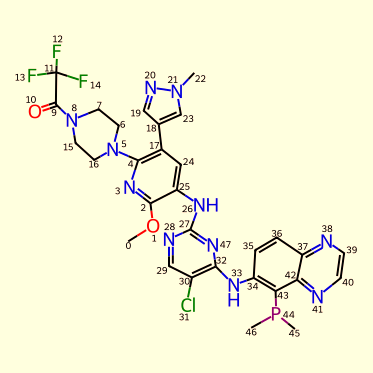 COc1nc(N2CCN(C(=O)C(F)(F)F)CC2)c(-c2cnn(C)c2)cc1Nc1ncc(Cl)c(Nc2ccc3nccnc3c2P(C)C)n1